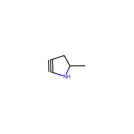 CC1CC#CN1